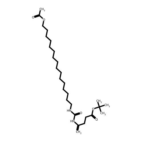 C=C(CCC(=O)OC(C)(C)C)NC(=O)NCCCCCCCCCCCCCCCCOC(C)=O